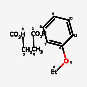 CC(=O)O.CC(=O)O.CCOc1ccccc1